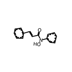 O=C(C=Cc1ccccc1)N(O)c1ccccc1